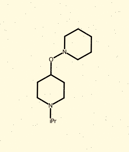 CC(C)N1CCC(ON2CCCCC2)CC1